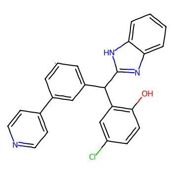 Oc1ccc(Cl)cc1C(c1c[c]cc(-c2ccncc2)c1)c1nc2ccccc2[nH]1